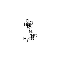 CCC(=O)N(c1ccccc1)C1CCN(CCN2C=CN(Nc3c(Cl)cccc3Cl)C2)CC1